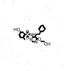 Cc1ccc(O)cc1S(=O)(=O)Nc1ncnc(OCCO)c1CCc1ccccc1